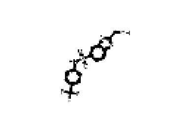 O=S(=O)(Nc1ccc(C(F)(F)F)cc1)c1ccc2sc(CO)nc2c1